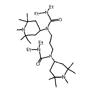 CCN(CC)C(=O)N(CCCN(C(=O)N(CC)CC)C1CC(C)(C)N(C)C(C)(C)C1)C1CC(C)(C)N(C)C(C)(C)C1